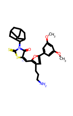 COc1cc(OC)cc(-c2cc(CCCN)c(/C=C3/SC(=S)N(C4C5CC6CC(C5)CC4C6)C3=O)o2)c1